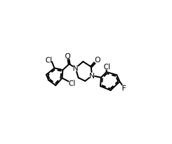 O=C(c1c(Cl)cccc1Cl)N1CCN(c2ccc(F)cc2Cl)C(=O)C1